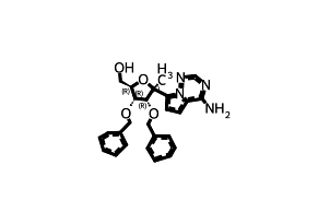 C[C@@]1(c2ccc3c(N)ncnn23)O[C@H](CO)[C@@H](OCc2ccccc2)[C@H]1OCc1ccccc1